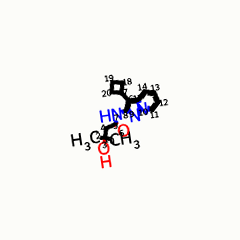 CC(C)(O)CC(=O)Nc1nn2ccccc2c1C1CCC1